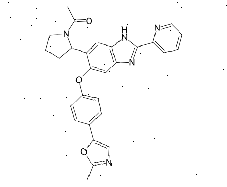 CC(=O)N1CCCC1c1cc2[nH]c(-c3ccccn3)nc2cc1Oc1ccc(-c2cnc(C)o2)cc1